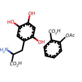 CC(=O)Oc1ccccc1C(=O)O.NC(Cc1cc(O)c(O)cc1O)C(=O)O